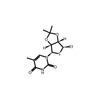 CC[C@H]1S[C@@H](n2cc(C)c(=O)[nH]c2=O)[C@@H]2OC(C)(C)O[C@@H]21